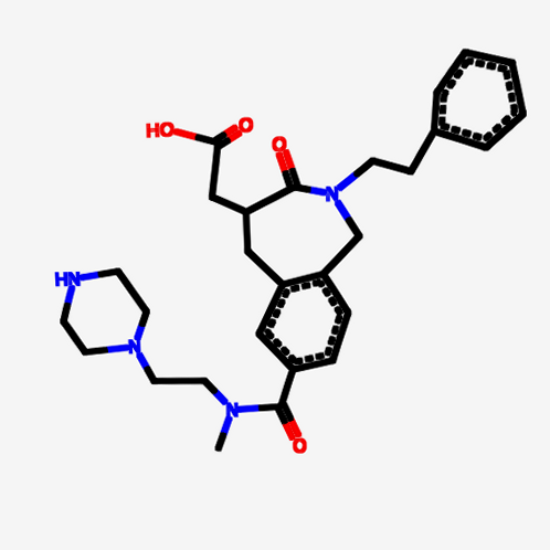 CN(CCN1CCNCC1)C(=O)c1ccc2c(c1)CC(CC(=O)O)C(=O)N(CCc1ccccc1)C2